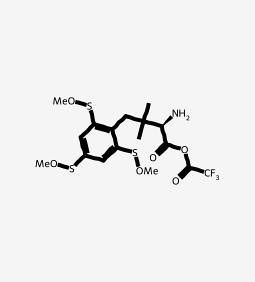 COSc1cc(SOC)c(CC(C)(C)[C@@H](N)C(=O)OC(=O)C(F)(F)F)c(SOC)c1